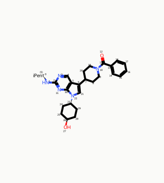 CCC[C@H](C)Nc1ncc2c(C3CCN(C(=O)c4ccccc4)CC3)cn([C@H]3CC[C@H](O)CC3)c2n1